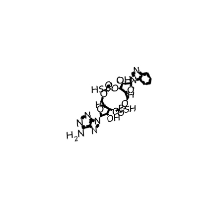 Nc1ncnc2c1ncn2[C@@H]1O[C@@H]2COP(=O)(S)OC3C(O)[C@H](n4cnc5ccccc54)O[C@@H]3COP(=O)(S)OC2C1O